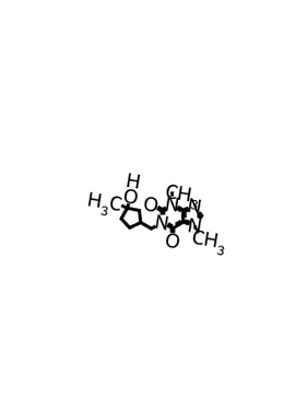 Cn1cnc2c1c(=O)n(CC1CCC(C)(O)C1)c(=O)n2C